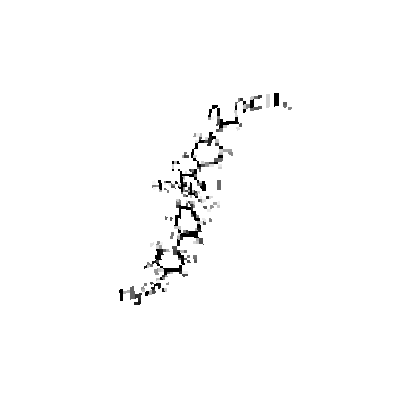 COCC(=O)N1CCC(C(NS(=O)(=O)c2ccc(-c3ccc(OC)cc3)cc2)C(=O)NO)CC1